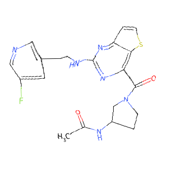 CC(=O)NC1CCN(C(=O)c2nc(NCc3cncc(F)c3)nc3ccsc23)C1